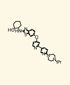 CC(C)N1CCN(c2ccc(-c3cc(Oc4ccc5nc(N[C@@H]6CCCC[C@H]6O)sc5c4)ccn3)cn2)CC1